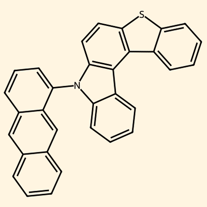 c1ccc2cc3c(-n4c5ccccc5c5c6c(ccc54)sc4ccccc46)cccc3cc2c1